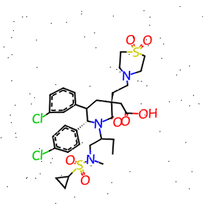 CCC(CN(C)S(=O)(=O)C1CC1)N1C(=O)[C@@](CCN2CCS(=O)(=O)CC2)(CC(=O)O)CC(c2cccc(Cl)c2)[C@H]1c1ccc(Cl)cc1